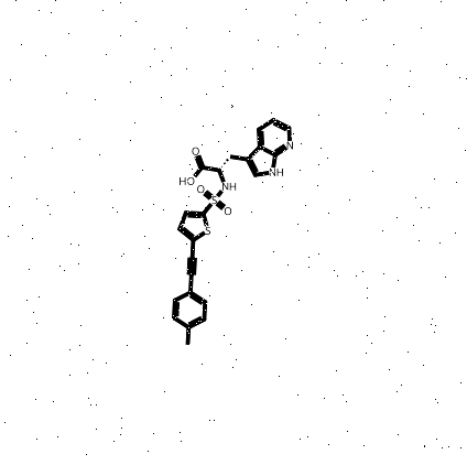 Cc1ccc(C#Cc2ccc(S(=O)(=O)N[C@@H](Cc3c[nH]c4ncccc34)C(=O)O)s2)cc1